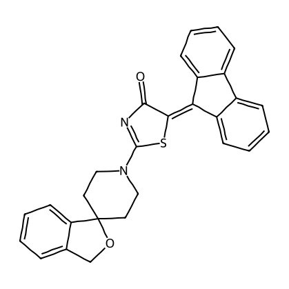 O=C1N=C(N2CCC3(CC2)OCc2ccccc23)SC1=C1c2ccccc2-c2ccccc21